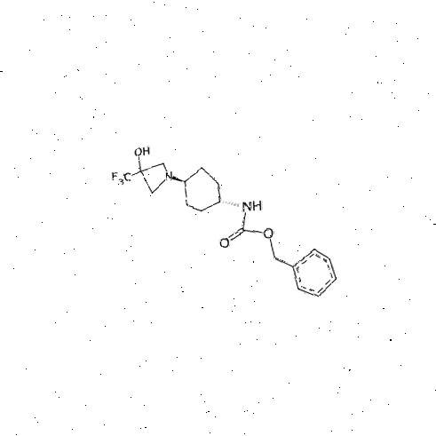 O=C(N[C@H]1CC[C@H](N2CC(O)(C(F)(F)F)C2)CC1)OCc1ccccc1